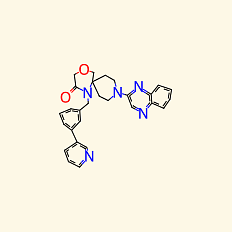 O=C1COCC2(CCN(c3cnc4ccccc4n3)CC2)N1Cc1cccc(-c2cccnc2)c1